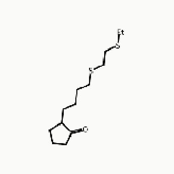 CCSCCSCCCCC1CCCC1=O